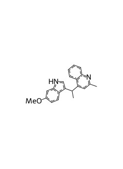 COc1ccc2c(C(C)c3cc(C)nc4ccccc34)c[nH]c2c1